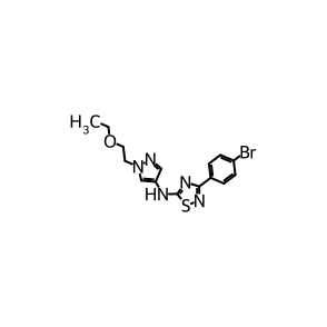 CCOCCn1cc(Nc2nc(-c3ccc(Br)cc3)ns2)cn1